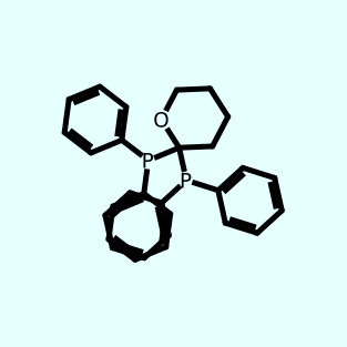 c1ccc(P(c2ccccc2)C2(P(c3ccccc3)c3ccccc3)CCCCO2)cc1